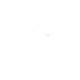 C=C/C(=C(\N=C/C)C(C)(C)C)C(C)C